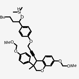 COCOc1ccc(C2(C)COc3cc(OCOC)ccc3C2C#CCOc2ccc(C(CCC(C)(C)C)O[SiH](C)C)cc2)cc1